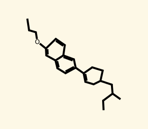 CCCOc1ccc2cc(C3=CCC(CC(C)CC)CC3)ccc2c1